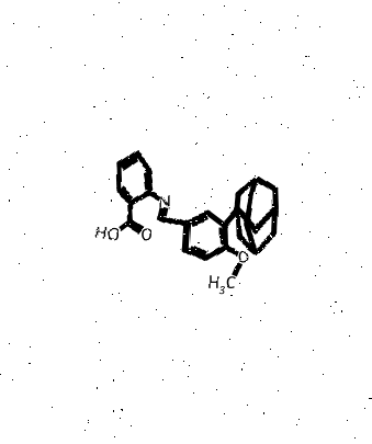 COc1ccc(C=Nc2ccccc2C(=O)O)cc1C12CC3CC(CC(C3)C1)C2